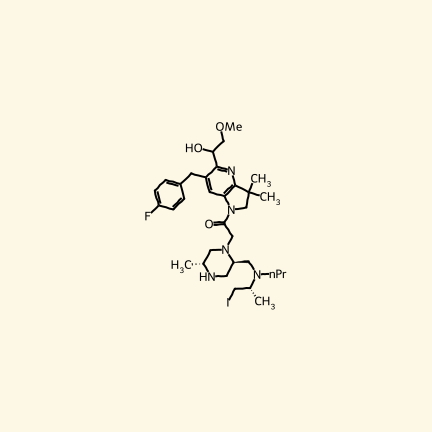 CCCN(C[C@H]1CN[C@H](C)CN1CC(=O)N1CC(C)(C)c2nc(C(O)COC)c(Cc3ccc(F)cc3)cc21)[C@H](C)CI